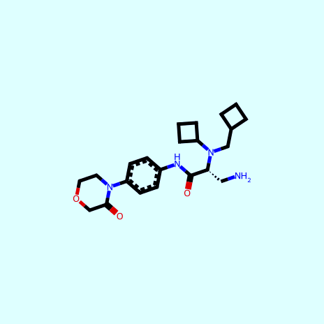 NC[C@H](C(=O)Nc1ccc(N2CCOCC2=O)cc1)N(CC1CCC1)C1CCC1